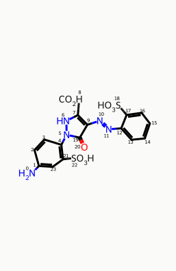 Nc1ccc(-n2[nH]c(C(=O)O)c(N=Nc3ccccc3S(=O)(=O)O)c2=O)c(S(=O)(=O)O)c1